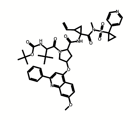 C=CC1CC1(NC(=O)C1CC(Oc2cc(-c3ccccc3)nc3cc(OC)ccc23)CN1C(=O)C(NC(=O)OC(C)(C)C)C(C)(C)C)C(=O)N(C)S(=O)(=O)C1(c2ccncc2)CC1